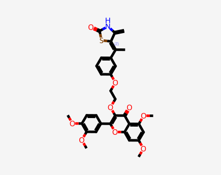 C=c1[nH]c(=O)s/c1=C(/C)c1cccc(OCCOc2c(-c3ccc(OC)c(OC)c3)oc3cc(OC)cc(OC)c3c2=O)c1